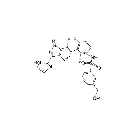 O=S(=O)(Nc1ccc(F)c(-c2ccc3c(-c4ncc[nH]4)n[nH]c3c2F)c1F)c1cccc(CO)c1